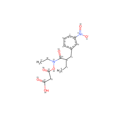 CCC(Cc1cccc([N+](=O)[O-])c1)C(=O)N(CC)OC(=O)CC(=O)O